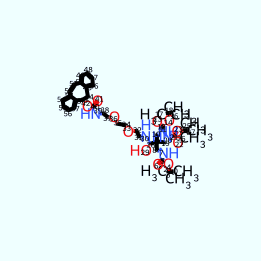 CC(C)(C)OC(=O)NCC(CNC(=O)OC(C)(C)C)(CNC(=O)OC(C)(C)C)C(O)NCCOCCOCCNC(=O)O[C@@H]1Cc2ccccc2/C=C\c2ccccc21